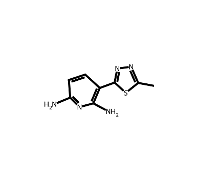 Cc1nnc(-c2ccc(N)nc2N)s1